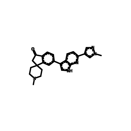 CN1CCC2(CC1)CC(=O)c1ccc(-c3c[nH]c4nc(-c5cnn(C)c5)ccc34)cc12